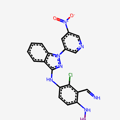 N=Cc1c(NPI)ccc(Nc2nn(-c3cncc([N+](=O)[O-])c3)c3ccccc23)c1Cl